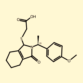 COc1ccc([C@H](C)N2C(=O)C3=C(CCCC3)C2SCC(=O)O)cc1